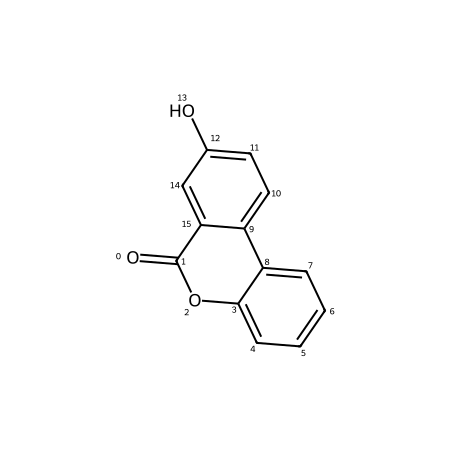 O=c1oc2ccccc2c2ccc(O)cc12